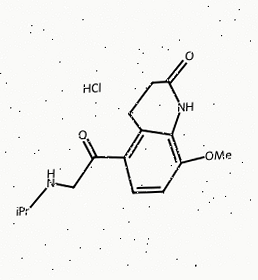 COc1ccc(C(=O)CNC(C)C)c2c1NC(=O)CC2.Cl